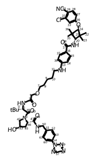 CC(C)(C)[C@H](NC(=O)COCCCCCNc1ccc(C(=O)N[C@H]2C(C)(C)[C@H](Oc3ccc(C#N)c(Cl)c3)C2(C)C)cc1)C(=O)N1C[C@H](O)C[C@H]1C(=O)NCc1ccc(-n2ncnn2)cc1